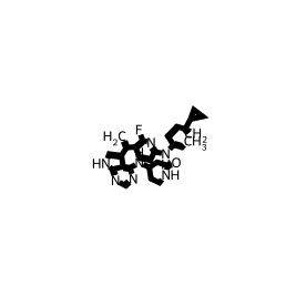 C=C(c1ccc(NC(/C=C\C(=C)C2CC2)=C/C)nc1F)c1c[nH]c2ncnc(NC3CCNC(=O)C3)c12